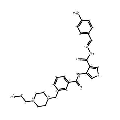 COc1ccc(C=NNC(=O)c2cscc2NC(=O)c2cccc(CN3CCN(CCO)CC3)c2)cc1